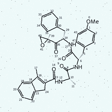 COc1ccc(C[C@H](NC(=O)[C@H](C)NC(=O)C2=C(C)c3ccccc3C2)C(=O)N[C@@H](Cc2ccccc2)C(=O)[C@]2(C)CO2)cc1